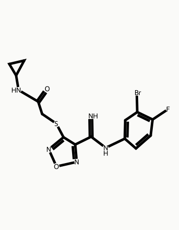 N=C(Nc1ccc(F)c(Br)c1)c1nonc1SCC(=O)NC1CC1